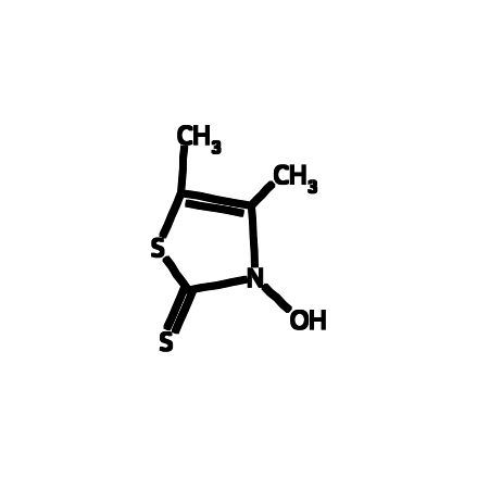 Cc1sc(=S)n(O)c1C